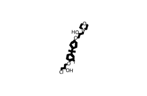 CC(C)(c1ccc(OC[C@@H](O)CN2CCOCC2)cc1)c1ccc(OC[C@H](O)CCl)c(I)c1